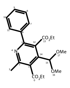 CCOC(=O)c1c(C)nc(-c2ccccc2)c(C(=O)OCC)c1C(OC)OC